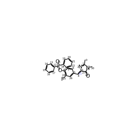 CC1=N/C(=C\c2ccc(OP(=O)(c3ccccc3)c3ccccc3)c(F)c2)C(=O)N1C